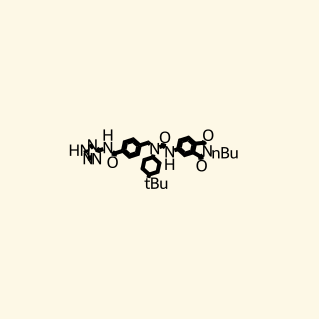 CCCCN1C(=O)c2ccc(NC(=O)N(Cc3ccc(C(=O)Nc4nn[nH]n4)cc3)C3CCC(C(C)(C)C)CC3)cc2C1=O